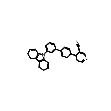 N#CC1=CN=CCC1C1C=CC(c2cccc(-n3c4c(c5c3C=CCC5)CCC=C4)c2)=CC1